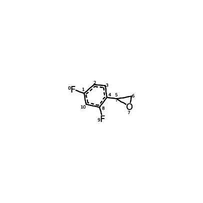 Fc1ccc([C]2CO2)c(F)c1